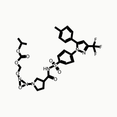 Cc1ccc(-c2cc(C(F)(F)F)nn2-c2ccc(S(=O)(=O)NC(=O)C3CCN(n4on4OCOC(=O)OC(C)C)C3)cc2)cc1